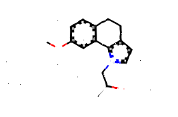 COc1ccc2c(c1)-c1c(ccn1C[C@H](C)O)CC2